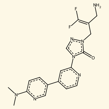 CN(C)c1ccc(-c2ccnc(-n3cnn(CC(CN)=C(F)F)c3=O)c2)cn1